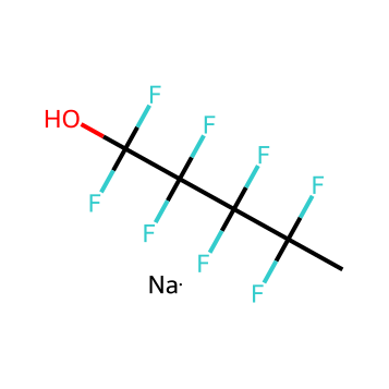 CC(F)(F)C(F)(F)C(F)(F)C(O)(F)F.[Na]